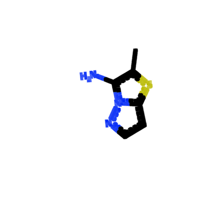 Cc1sc2ccnn2c1N